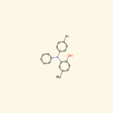 CC(=O)c1ccc(N(c2ccccc2)c2cc(C(C)(C)C)ccc2O)cc1